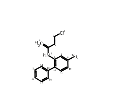 C=C(CCCl)Nc1cc(CC)ccc1-c1ccccc1